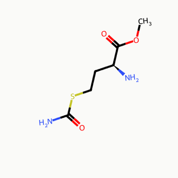 COC(=O)[C@@H](N)CCSC(N)=O